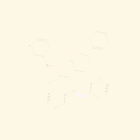 C(=N\c1ccccc1)/c1ccccc1.CC(CC1COC(c2ccccc2)OC1)OC(=O)c1ccccc1